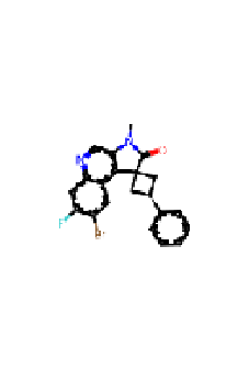 CN1c2cnc3cc(F)c(Br)cc3c2[C@]2(C[C@H](c3ccccc3)C2)C1=O